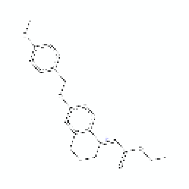 CCOC(=O)/C=C1\CCCc2cc(OCc3ccc(OC)cc3)ccc21